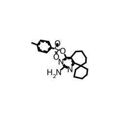 Cc1ccc(S(=O)(=O)Oc2nc(N)nc3c2CCCCC32CCCCC2)cc1